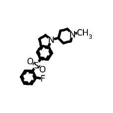 CN1CCC(N2CCc3cc(S(=O)(=O)c4ccccc4F)ccc32)CC1